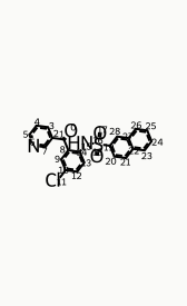 O=C(c1cccnc1)c1cc(Cl)ccc1NS(=O)(=O)c1ccc2ccccc2c1